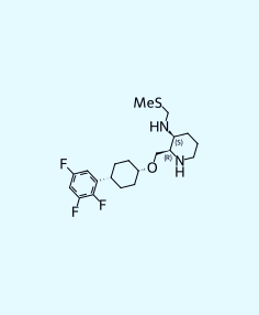 CSCN[C@H]1CCCN[C@H]1CO[C@H]1CC[C@@H](c2cc(F)cc(F)c2F)CC1